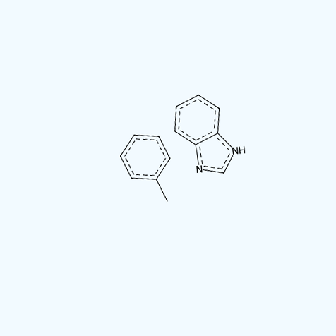 Cc1ccccc1.c1ccc2[nH]cnc2c1